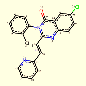 Cc1ccccc1-n1c(/C=C/c2ccccn2)nc2ccc(Cl)cc2c1=O